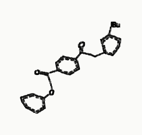 CCC(C)c1cccc(CC(=O)c2ccc(C(=O)Oc3ccccc3)cc2)c1